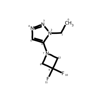 CCn1nncc1N1CC(F)(F)C1